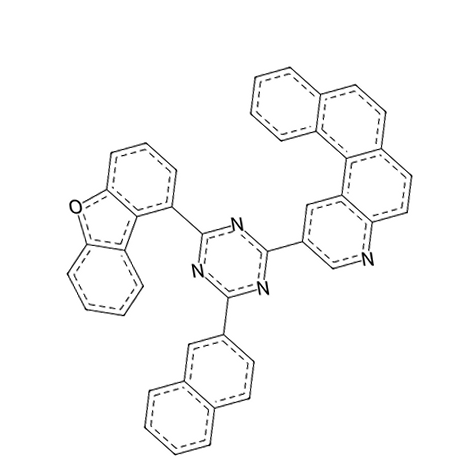 c1ccc2cc(-c3nc(-c4cnc5ccc6ccc7ccccc7c6c5c4)nc(-c4cccc5oc6ccccc6c45)n3)ccc2c1